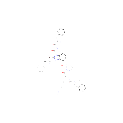 CN[C@@H](Cc1ccccc1)C(=O)N[C@@H](CCCCN)C(=O)N1CCC[C@H]1C(=O)c1cccc2c1nc(C(=O)[C@H](N)CC1CCCCC1)n2C(=O)NC(=O)[C@@H](N)Cc1ccccc1